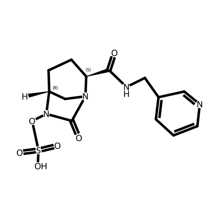 O=C(NCc1cccnc1)[C@@H]1CC[C@@H]2CN1C(=O)N2OS(=O)(=O)O